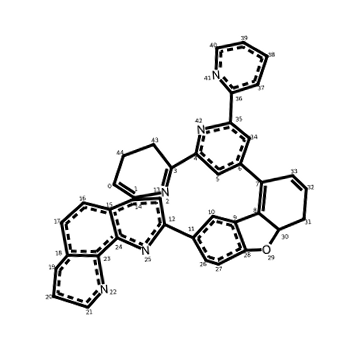 C1=CN=C(c2cc(C3=C4c5cc(-c6ccc7ccc8cccnc8c7n6)ccc5OC4CC=C3)cc(-c3ccccn3)n2)CC1